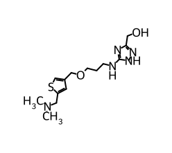 CN(C)Cc1cc(COCCCNc2nc(CO)n[nH]2)cs1